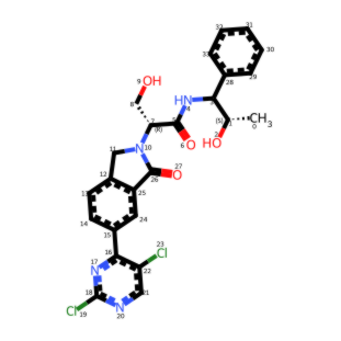 C[C@H](O)C(NC(=O)[C@@H](CO)N1Cc2ccc(-c3nc(Cl)ncc3Cl)cc2C1=O)c1ccccc1